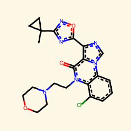 CC1(c2noc(-c3ncn4c3c(=O)n(CCN3CCOCC3)c3c(Cl)cccc34)n2)CC1